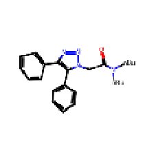 CCCCN(CCCC)C(=O)Cn1nnc(-c2ccccc2)c1-c1ccccc1